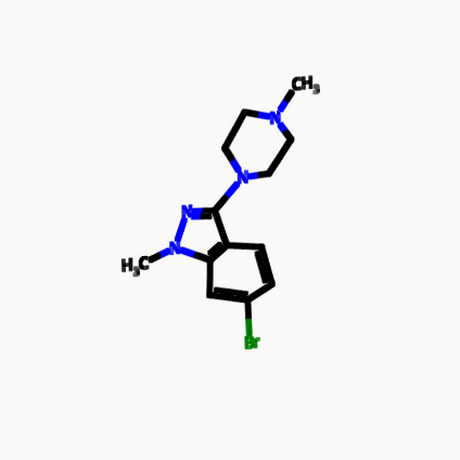 CN1CCN(c2nn(C)c3cc(Br)ccc23)CC1